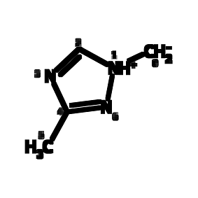 [CH2-][NH+]1C=NC(C)=N1